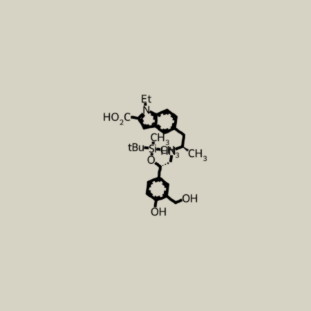 CCn1c(C(=O)O)cc2cc(C[C@@H](C)NC[C@@H](O[Si](C)(C)C(C)(C)C)c3ccc(O)c(CO)c3)ccc21